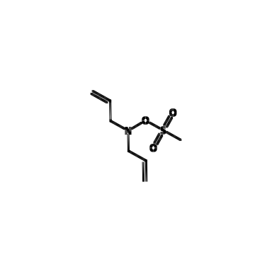 C=CCN(CC=C)OS(C)(=O)=O